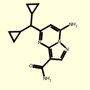 NC(=O)c1cnn2c(N)cc(C(C3CC3)C3CC3)nc12